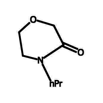 CCCN1CCOCC1=O